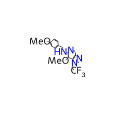 COc1ccc(CNc2ncc3ncn(CC(F)(F)F)c3c2OC)cc1